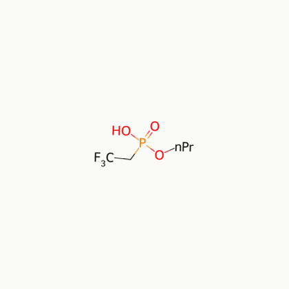 CCCOP(=O)(O)CC(F)(F)F